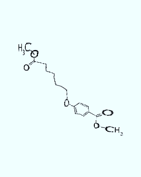 COC(=O)CCCCCOc1ccc(C(=O)OC)cc1